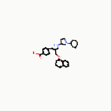 O=C(O)c1ccc(/C=C(/CNC2CCN(C3CCCCC3)C2)COc2cccc3ccccc23)cc1